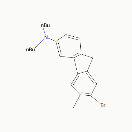 CCCCN(CCCC)c1ccc2c(c1)-c1cc(C)c(Br)cc1C2